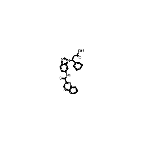 O=C(O)CC(c1ccccc1)n1cnc2ccc(NC(=O)c3cnc4ccccc4n3)cc21